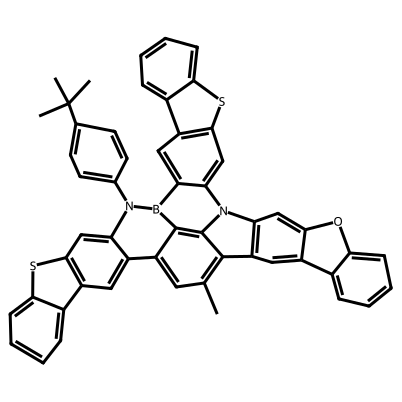 Cc1cc2c3c4c1c1cc5c(cc1n4-c1cc4sc6ccccc6c4cc1B3N(c1ccc(C(C)(C)C)cc1)c1cc3sc4ccccc4c3cc1-2)oc1ccccc15